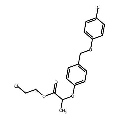 CC(Oc1ccc(COc2ccc(Cl)cc2)cc1)C(=O)OCCCl